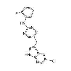 Fc1ccccc1Nc1ncc(Cc2c[nH]c3ncc(Cl)cc23)cn1